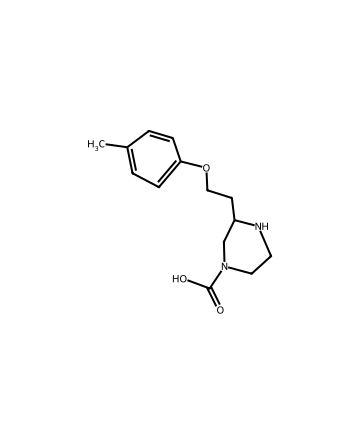 Cc1ccc(OCCC2CN(C(=O)O)CCN2)cc1